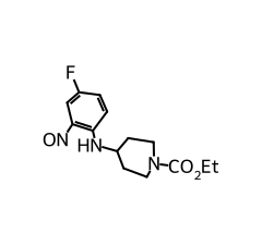 CCOC(=O)N1CCC(Nc2ccc(F)cc2N=O)CC1